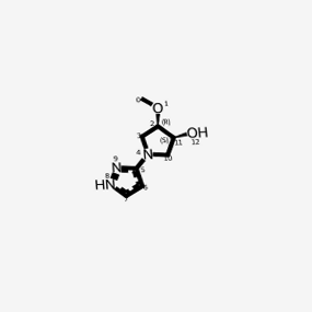 CO[C@@H]1CN(c2cc[nH]n2)C[C@@H]1O